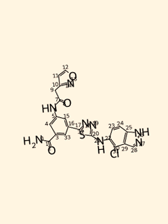 NC(=O)c1cc(NC(=O)Cc2ccon2)cc(-c2nnc(Nc3ccc4[nH]ncc4c3Cl)s2)c1